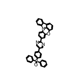 O=P(c1ccccc1)(c1ccccc1)c1ccc(-c2cnc(-c3ccc4c(c3)Oc3cccc5c6ccccc6n-4c35)nc2)cc1